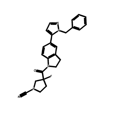 N#CN1CCC(F)(C(=O)N2CCc3cc(-c4ccnn4Cc4ccccc4)ccc32)C1